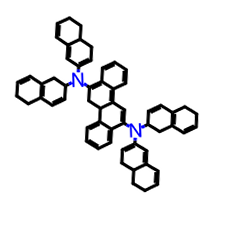 C1=CC2=C(C=CC(N(C3=CCC4CCC=CC4=C3)C3=CC4=c5ccccc5=C(N(C5=CCC6CCC=CC6=C5)C5C=CC6=C(C=CCC6)C5)CC4c4ccccc43)C2)CC1